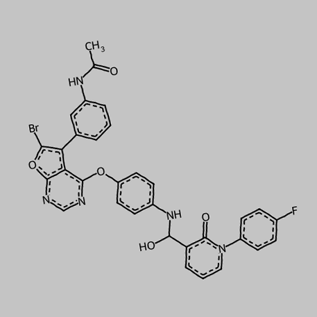 CC(=O)Nc1cccc(-c2c(Br)oc3ncnc(Oc4ccc(NC(O)c5cccn(-c6ccc(F)cc6)c5=O)cc4)c23)c1